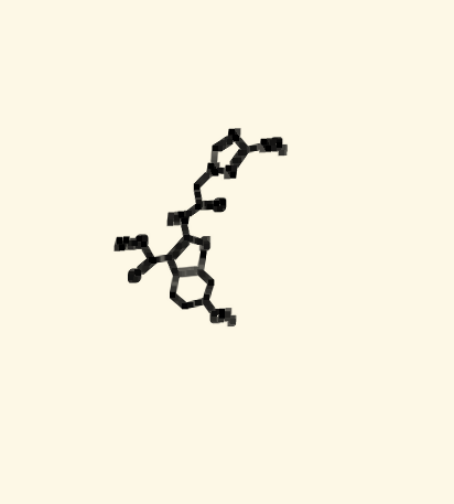 COC(=O)c1c(NC(=O)Cn2cnc([N+](=O)[O-])n2)sc2c1CCC(C)C2